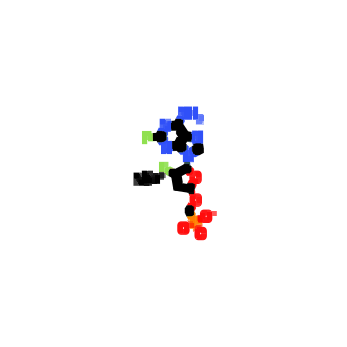 Nc1nc(F)nc2c1ncn2[C@@H]1O[C@H](OCP(=O)([O-])[O-])C=C1F.[Na+].[Na+]